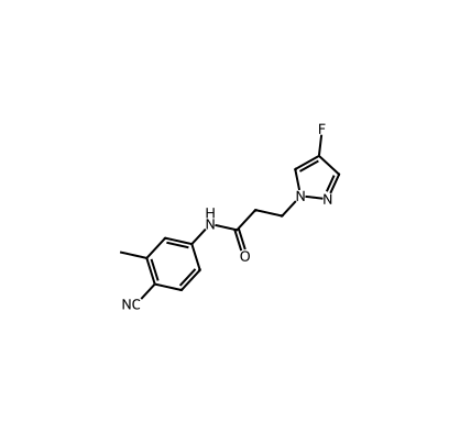 Cc1cc(NC(=O)CCn2cc(F)cn2)ccc1C#N